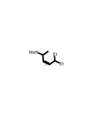 CCC(/C=C\C(C)NC)CC